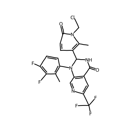 Cc1c(N2c3cnc(C(F)(F)F)cc3C(=O)NC2c2ccc(=O)n(CCl)c2C)ccc(F)c1F